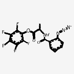 CC(NC(=O)c1ccccc1N=[N+]=[N-])C(=O)Oc1c(F)c(F)c(F)c(F)c1F